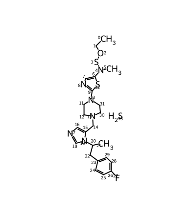 CCOSN(C)c1cnc(N2CCN(Cc3cncn3C(C)Cc3ccc(F)cc3)CC2)s1.S